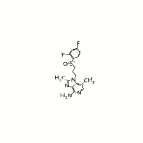 Cc1cnc(N)c2nc(C)n(CCC[S+]([O-])c3ccc(F)cc3F)c12